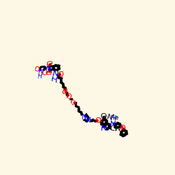 COc1cc2c(Nc3ccc(Oc4ccccc4)cc3)c(C#N)cnc2cc1OCCCN1CCN(CCCCCCOCCOCCOCCCCCCC(=O)Nc2cccc3c2C(=O)N(C2CCC(=O)NC2=O)C3=O)CC1